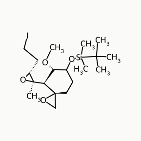 CO[C@@H]1C(O[Si](C)(C)C(C)(C)C)CC[C@]2(CO2)[C@H]1[C@@]1(C)O[C@@H]1CCI